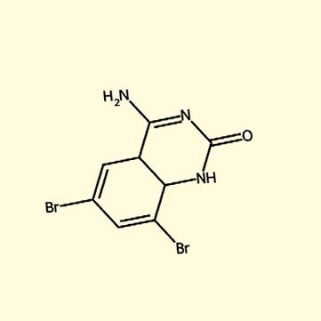 NC1=NC(=O)NC2C(Br)=CC(Br)=CC12